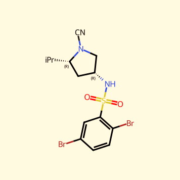 CC(C)[C@H]1C[C@@H](NS(=O)(=O)c2cc(Br)ccc2Br)CN1C#N